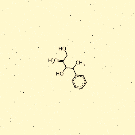 C=C(CO)C(O)C(C)c1ccccc1